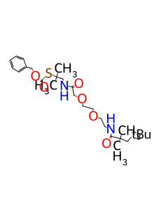 CC(C)(C)CC(C)(C)C(=O)NCCOCCOCC(=O)NCC(C)(C)SC(=O)OCc1ccccc1